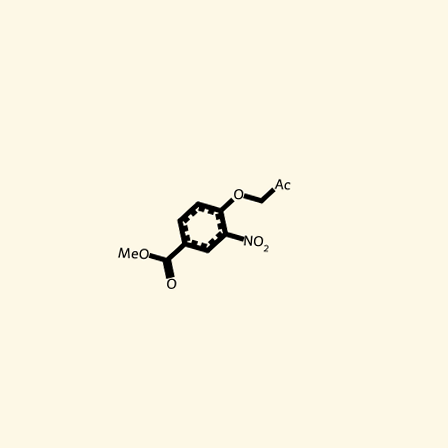 COC(=O)c1ccc(OCC(C)=O)c([N+](=O)[O-])c1